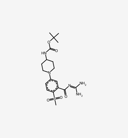 CC(C)(C)OC(=O)NC1CCN(c2ccc(S(C)(=O)=O)c(C(=O)N=C(N)N)c2)CC1